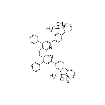 CC1(C)c2ccccc2-c2ccc(-c3cc(-c4ccccc4)c4ccc5c(-c6ccccc6)cc(-c6ccc7c(c6)C(C)(C)c6ccccc6-7)nc5c4n3)cc21